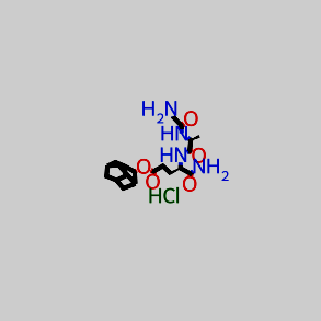 C[C@H](NC(=O)CN)C(=O)N[C@H](CCC(=O)OC1C2CC3CC(C2)CC1C3)C(N)=O.Cl